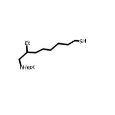 CCCCCCCCC(CC)CCCCCCS